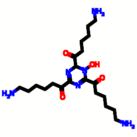 NCCCCCC(=O)C1=NC(C(=O)CCCCCN)N(O)C(C(=O)CCCCCN)=N1